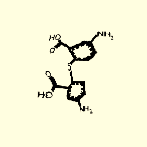 Nc1ccc(Sc2ccc(N)cc2C(=O)O)c(C(=O)O)c1